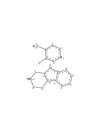 Cc1ccncc1I.c1ccc2c3c(oc2c1)CNCC3